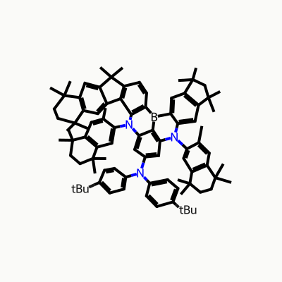 Cc1cc2c(cc1N1c3cc4c(cc3B3c5ccc6c(c5N(c5cc7c(cc5C)C(C)(C)CCC7(C)C)c5cc(N(c7ccc(C(C)(C)C)cc7)c7ccc(C(C)(C)C)cc7)cc1c53)-c1cc3c(cc1C6(C)C)C(C)(C)CCC3(C)C)C(C)(C)CC4(C)C)C(C)(C)CCC2(C)C